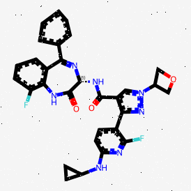 O=C(N[C@H]1N=C(c2ccccc2)c2cccc(F)c2NC1=O)c1cn(C2COC2)nc1-c1ccc(NC2CC2)nc1F